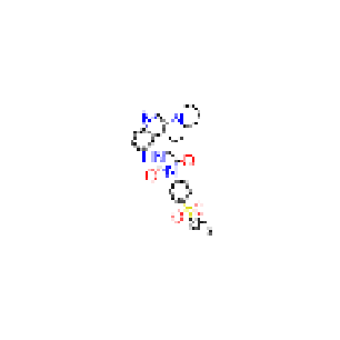 CC(c1c(N2CCCCC2)cnc2ccccc12)C1NC(=O)N(c2ccc(S(=O)(=O)C(F)(F)F)cc2)C1=O